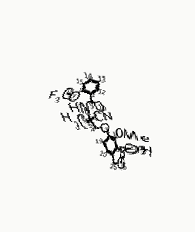 COc1c(OCC(C)(C#N)NC(=O)c2ccccc2OC(F)(F)F)ccc2c1B(O)OC2